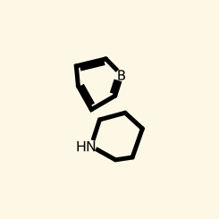 C1CCNCC1.b1ccccc1